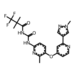 Cc1nc(NC(=O)NC(=O)C(C)(C)C(F)(F)F)ccc1Oc1ccnc(-c2cnn(C)c2)c1